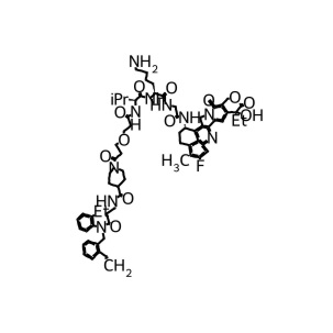 C=Cc1ccccc1CN(C(=O)CCNC(=O)C1CCN(C(=O)CCOCCC(=O)N[C@H](C(=O)N[C@@H](CCCCN)C(=O)NCC(=O)N[C@H]2CCc3c(C)c(F)cc4nc5c(c2c34)Cn2c-5cc3c(c2=O)COC(=O)[C@]3(O)CC)C(C)C)CC1)c1ccccc1CC